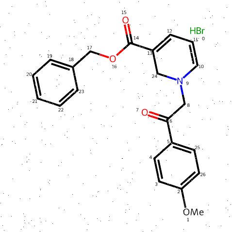 Br.COc1ccc(C(=O)CN2C=CC=C(C(=O)OCc3ccccc3)C2)cc1